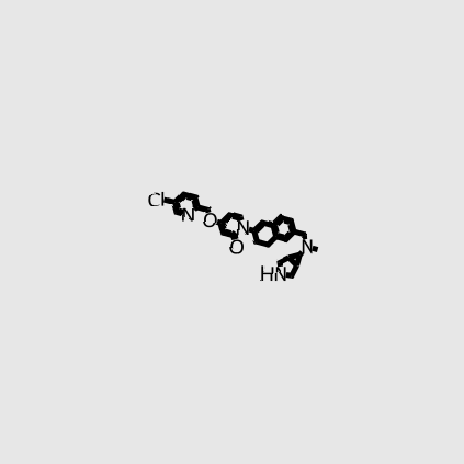 CN(Cc1ccc2c(c1)CCC(n1ccc(OCc3ccc(Cl)cn3)cc1=O)=C2)C1C2CNCC21